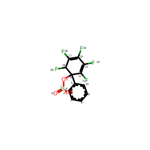 O=S(O)OC1(c2ccccc2)C(F)=C(F)C(F)=C(F)C1F